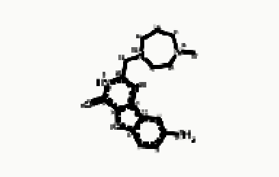 Bc1ccc2oc3c(=O)[nH]c(CN4CCCN(C)CC4)nc3c2c1